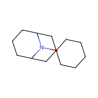 [CH]1CCCCC1N1C2CCCC1CCC2